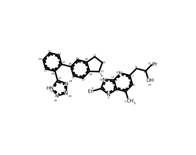 CCc1nc2c(C)cc(CC(O)C(C)C)nc2n1[C@H]1CCc2cc(-c3ccccc3-c3nnn[nH]3)ccc21